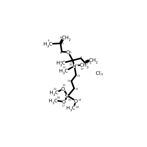 C=CCC(C)(OCC(=C)C)[N+](C)(C)CCC[Si](OC)(OC)OC.[Cl-]